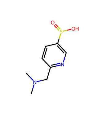 CN(C)Cc1ccc(S(=O)O)cn1